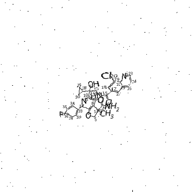 C[C@]1(C(N)=O)COc2c1cc(C(O)(CNC(=O)c1cc(Cl)c3ncccc3c1)C1CC1)nc2-c1ccc(F)cc1